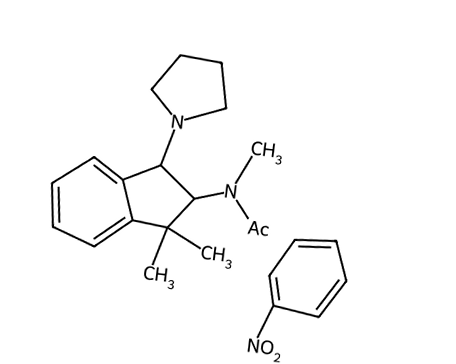 CC(=O)N(C)C1C(N2CCCC2)c2ccccc2C1(C)C.O=[N+]([O-])c1ccccc1